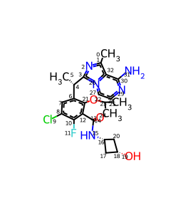 Cc1nc([C@@H](C)c2cc(Cl)c(F)c(C(=O)N[C@H]3C[C@@H](O)C3)c2OC(C)C)n2ccnc(N)c12